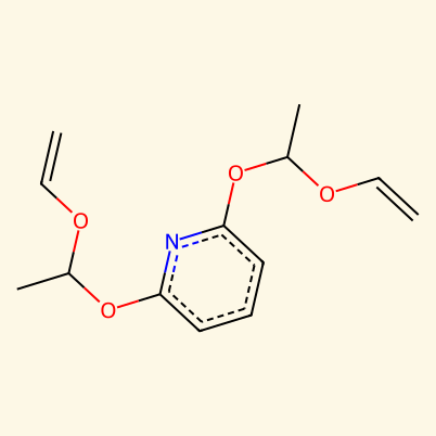 C=COC(C)Oc1cccc(OC(C)OC=C)n1